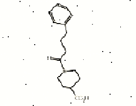 O=C(O)C1CCN(C(=O)CCCc2ccccc2)CC1